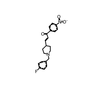 O=C(C=CC1CCN(Cc2ccc(F)cc2)CC1)c1ccc([N+](=O)[O-])cc1